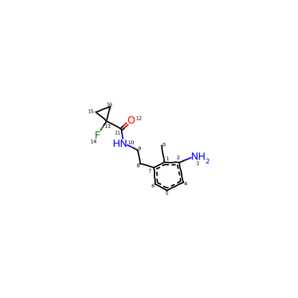 Cc1c(N)cccc1CCNC(=O)C1(F)CC1